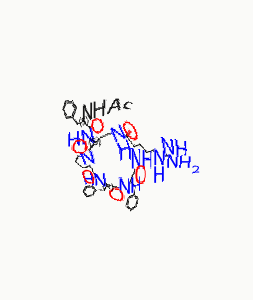 CC(=O)N[C@@H](Cc1ccccc1)C(=O)N[C@H]1CCNC(=O)C(CCCNC(=N)N)NC(=O)C(Cc2ccccc2)NC(=O)[C@@H](Cc2ccccc2)NC(=O)C2CCCN2C1=O